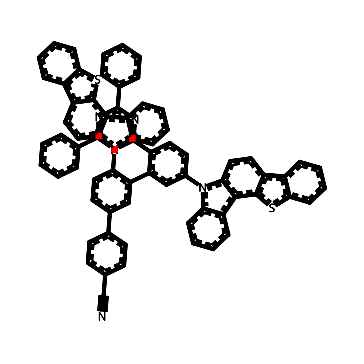 N#Cc1ccc(-c2ccc(-n3c4ccccc4c4c5sc6ccccc6c5ccc43)c(-c3cc(-n4c5ccccc5c5c6sc7ccccc7c6ccc54)ccc3-c3nc(-c4ccccc4)nc(-c4ccccc4)n3)c2)cc1